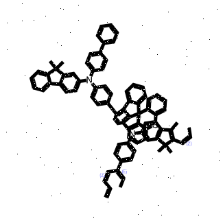 C=C/C=C\C(=C/C)c1ccc(N(c2ccc3c(c2)C(C)(C)C(/C=C\C)=C3C)c2ccc(-c3ccc(N(c4ccc(-c5ccccc5)cc4)c4ccc5c(c4)C(C)(C)c4ccccc4-5)cc3)c3c2C2(c4ccccc4Oc4ccccc42)c2ccccc2-3)cc1